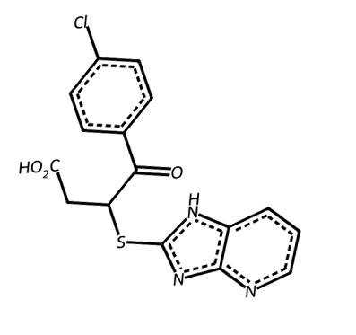 O=C(O)CC(Sc1nc2ncccc2[nH]1)C(=O)c1ccc(Cl)cc1